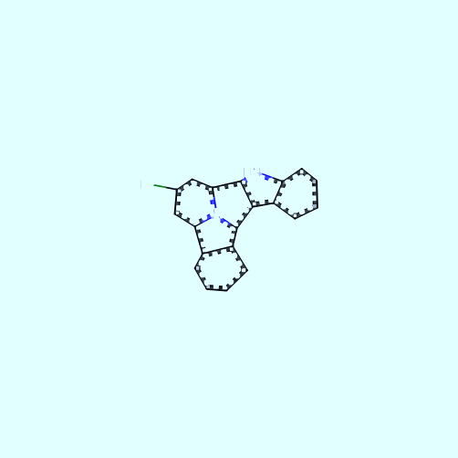 Brc1cc2c3ccccc3c3c4c5ccccc5[nH]c4c(c1)n23